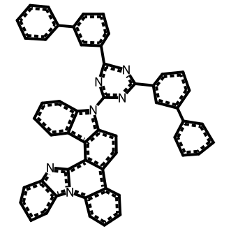 c1ccc(-c2cccc(-c3nc(-c4cccc(-c5ccccc5)c4)nc(-n4c5ccccc5c5c6c(ccc54)c4ccccc4n4c5ccccc5nc64)n3)c2)cc1